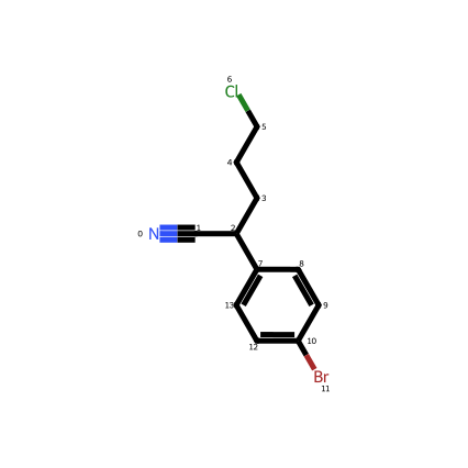 N#CC(CCCCl)c1ccc(Br)cc1